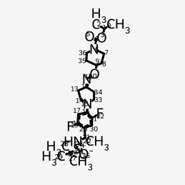 CC(C)OC(=O)N1CCC(ON=C2CCN(c3cc(F)c(C(C)N[S@+]([O-])C(C)(C)C)cc3F)CC2)CC1